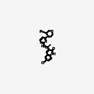 CC(C)C1COCCN1c1ccnc(N[C@@H](C)c2cc3cc(Cl)ccc3[nH]c2=O)n1